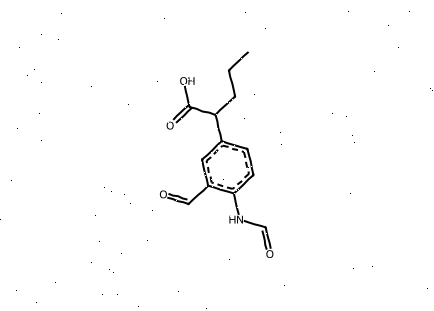 CCCC(C(=O)O)c1ccc(NC=O)c(C=O)c1